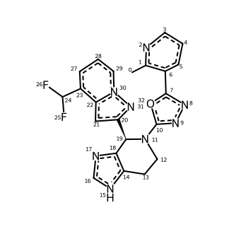 Cc1ncccc1-c1nnc(N2CCc3[nH]cnc3[C@H]2c2cc3c(C(F)F)cccn3n2)o1